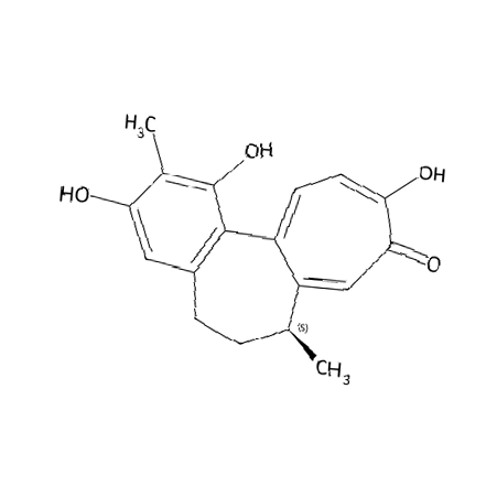 Cc1c(O)cc2c(c1O)-c1ccc(O)c(=O)cc1[C@@H](C)CC2